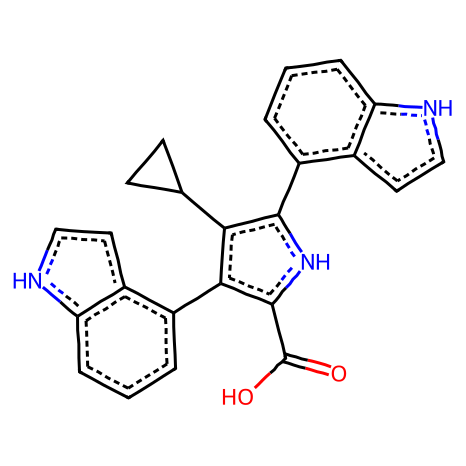 O=C(O)c1[nH]c(-c2cccc3[nH]ccc23)c(C2CC2)c1-c1cccc2[nH]ccc12